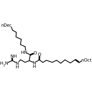 CCCCCCCC/C=C/CCCCCCCC(=O)NC(CCNC(=N)N)C(=O)NCCCCCCCCCCCCCCCC